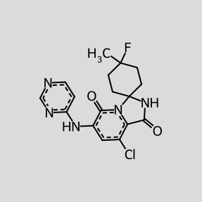 CC1(F)CCC2(CC1)NC(=O)c1c(Cl)cc(Nc3ccncn3)c(=O)n12